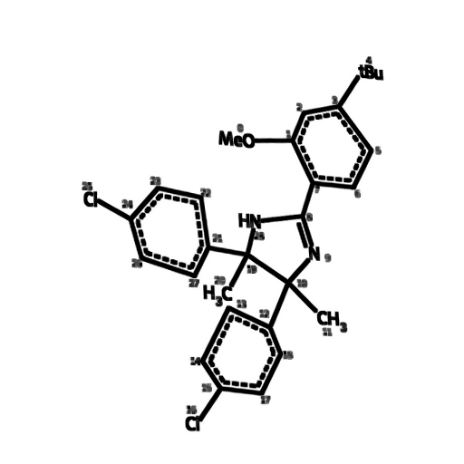 COc1cc(C(C)(C)C)ccc1C1=NC(C)(c2ccc(Cl)cc2)C(C)(c2ccc(Cl)cc2)N1